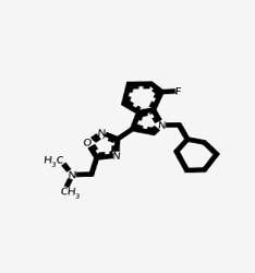 CN(C)Cc1nc(-c2cn(CC3CCCCC3)c3c(F)cccc23)no1